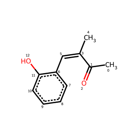 CC(=O)/C(C)=C\c1ccccc1O